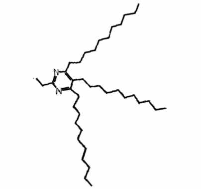 [CH2]Cc1nc(CCCCCCCCCCC)c(CCCCCCCCCCC)c(CCCCCCCCCCC)n1